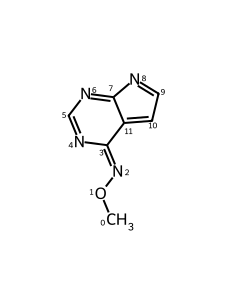 CON=C1N=CN=C2N=CC=C21